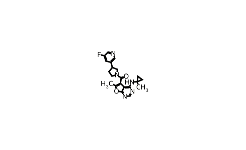 Cc1oc2ncnc(NC3(C)CC3)c2c1C(=O)N1CCC(c2cncc(F)c2)C1